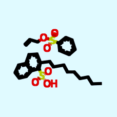 C=CCOS(=O)(=O)c1ccccc1.CCCCCCCCCc1ccc2ccccc2c1S(=O)(=O)O